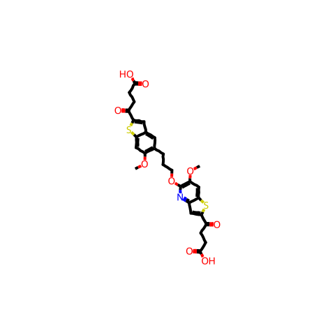 COc1cc2sc(C(=O)CCC(=O)O)cc2cc1CCCOc1nc2cc(C(=O)CCC(=O)O)sc2cc1OC